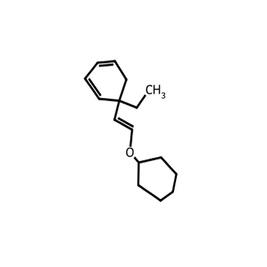 CCC1(C=COC2CCCCC2)C=CC=CC1